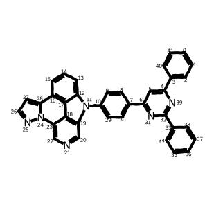 c1ccc(-c2cc(-c3ccc(-n4c5cccc6c5c5c4cncc5n4nccc64)cc3)nc(-c3ccccc3)n2)cc1